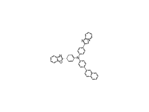 C1=C[C@H](c2nc3ccccc3o2)CC=C1N(c1ccc(-c2ccc3ccccc3c2)cc1)c1ccc(-c2cn3ccccc3n2)cc1